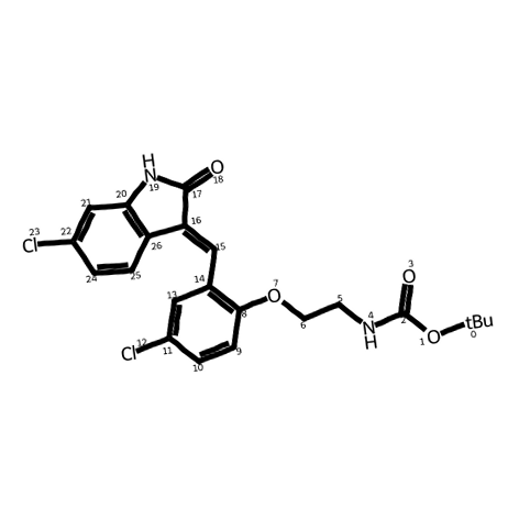 CC(C)(C)OC(=O)NCCOc1ccc(Cl)cc1/C=C1/C(=O)Nc2cc(Cl)ccc21